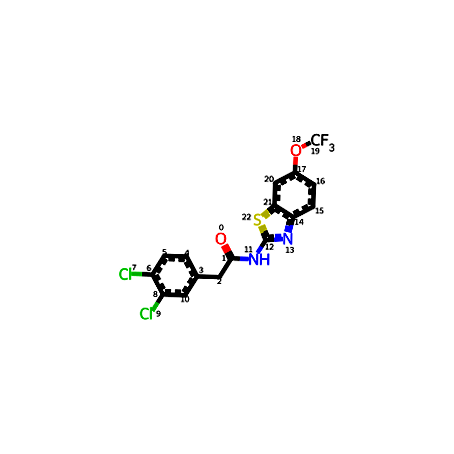 O=C(Cc1ccc(Cl)c(Cl)c1)Nc1nc2ccc(OC(F)(F)F)cc2s1